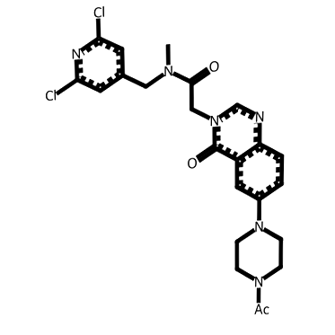 CC(=O)N1CCN(c2ccc3ncn(CC(=O)N(C)Cc4cc(Cl)nc(Cl)c4)c(=O)c3c2)CC1